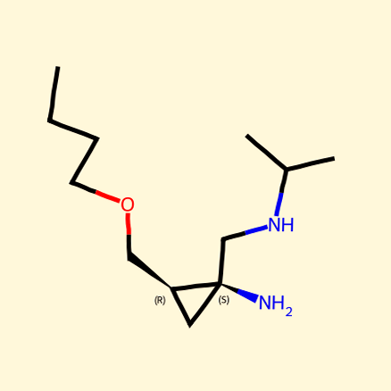 CCCCOC[C@@H]1C[C@@]1(N)CNC(C)C